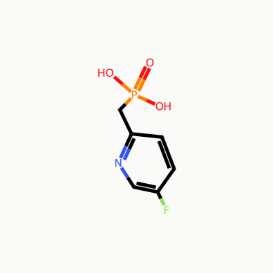 O=P(O)(O)Cc1ccc(F)cn1